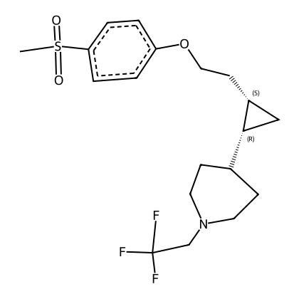 CS(=O)(=O)c1ccc(OCC[C@@H]2C[C@@H]2C2CCN(CC(F)(F)F)CC2)cc1